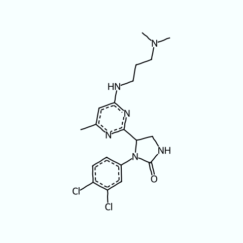 Cc1cc(NCCCN(C)C)nc(C2CNC(=O)N2c2ccc(Cl)c(Cl)c2)n1